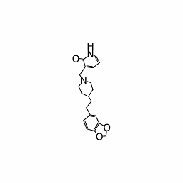 O=c1[nH]cccc1CN1CCC(CCc2ccc3c(c2)OCO3)CC1